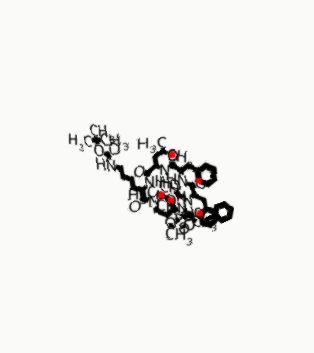 COP(=O)(OC)C1(NC(=O)OCc2ccccc2)CCN(C(=O)C(CCCCNC(=O)OC(C)(C)C)NC(=O)C(CC(C)C)NC(=O)C(Cc2ccccc2)NC(=O)C(Cc2ccccc2)NC(=O)OC(C)(C)C)CC1